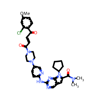 COc1ccc(C(=O)/C=C/C(=O)N2CCN(c3ccc(Nc4ncc5cc(C(=O)N(C)C)n(C6CCCC6)c5n4)nc3)CC2)c(Cl)c1